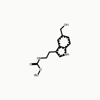 CC(C)(C)OC(=O)NCCc1c[nH]c2ccc(CO)cc12